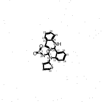 O=C(N=S(=O)=O)N(c1cccs1)c1ccccc1C1N=Cc2ccccc2N1